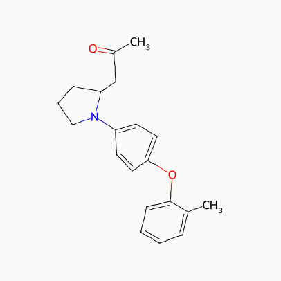 CC(=O)CC1CCCN1c1ccc(Oc2ccccc2C)cc1